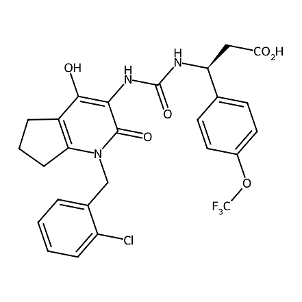 O=C(O)C[C@H](NC(=O)Nc1c(O)c2c(n(Cc3ccccc3Cl)c1=O)CCC2)c1ccc(OC(F)(F)F)cc1